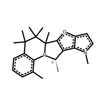 Cc1cccc2c1N1[C@@H](C)c3c(oc4ccn(C)c34)C1(C)C(C)(C)C2(C)C